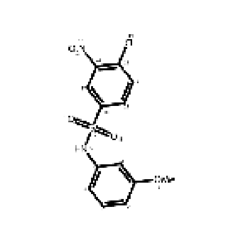 COc1cccc(NS(=O)(=O)c2ccc(Cl)c([N+](=O)[O-])c2)c1